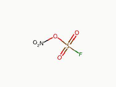 O=[N+]([O-])OS(=O)(=O)F